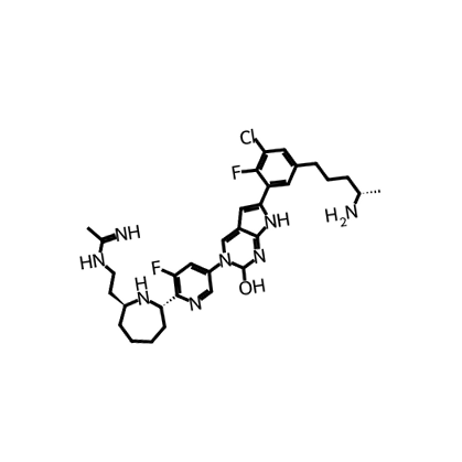 CC(=N)NCC[C@@H]1CCCC[C@@H](c2ncc(N3C=c4cc(-c5cc(CCC[C@H](C)N)cc(Cl)c5F)[nH]c4=NC3O)cc2F)N1